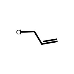 C=[C]CCl